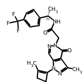 CC1=C(n2nc(C)c3c(=O)n(CC(=O)N[C@@H](C)c4ccc(C(F)(F)F)cc4)ncc32)CC1